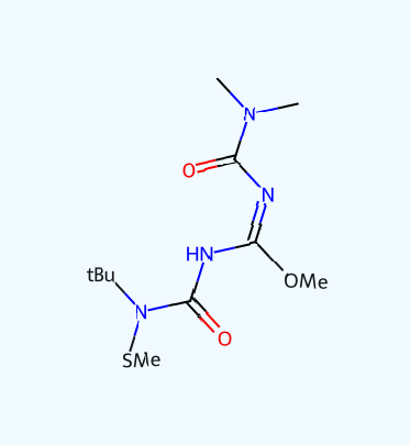 COC(=NC(=O)N(C)C)NC(=O)N(SC)C(C)(C)C